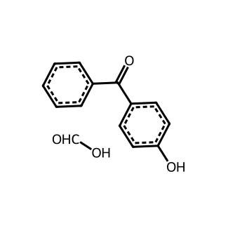 O=C(c1ccccc1)c1ccc(O)cc1.O=CO